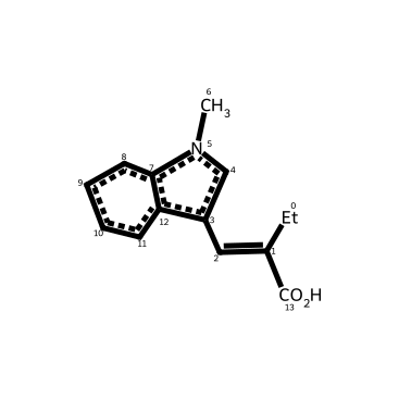 CC/C(=C\c1cn(C)c2ccccc12)C(=O)O